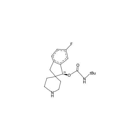 CC(C)(C)NC(=O)O[C@@H]1c2cc(F)ccc2CC12CCNCC2